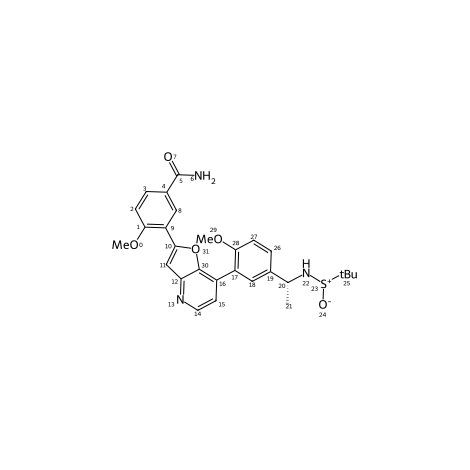 COc1ccc(C(N)=O)cc1-c1cc2nccc(-c3cc([C@@H](C)N[S+]([O-])C(C)(C)C)ccc3OC)c2o1